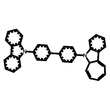 C1=CC=C2c3ccccc3N(c3ccc(-c4ccc(-n5c6ccccc6c6ccccc65)cc4)cc3)C2C=C1